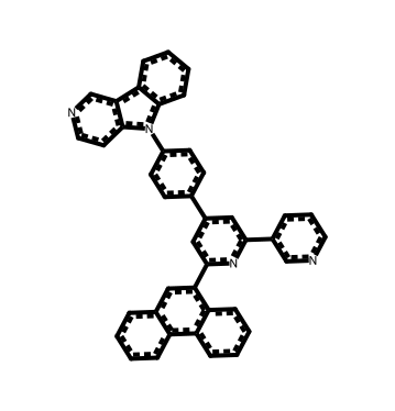 c1cncc(-c2cc(-c3ccc(-n4c5ccccc5c5cnccc54)cc3)cc(-c3cc4ccccc4c4ccccc34)n2)c1